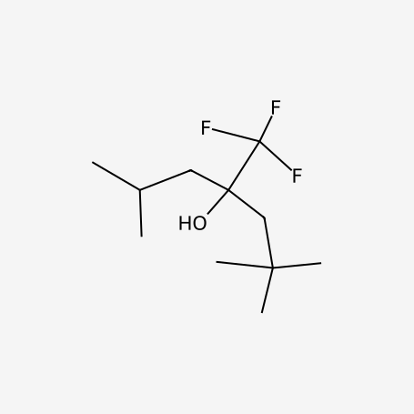 CC(C)CC(O)(CC(C)(C)C)C(F)(F)F